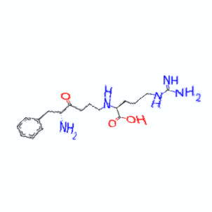 N=C(N)NCCC[C@H](NCCCC(=O)[C@H](N)Cc1ccccc1)C(=O)O